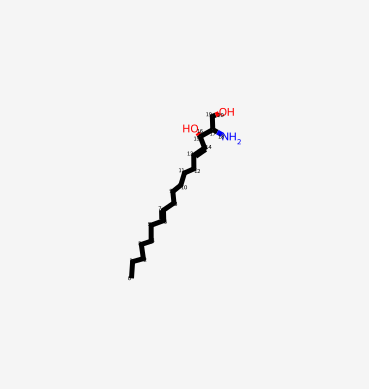 CCCCCCC=CCCCCCC=CC(O)C(N)CO